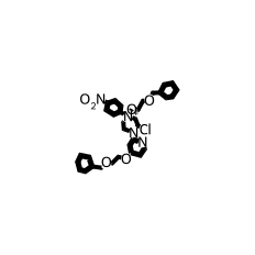 O=[N+]([O-])c1ccc([N+]2(OCCOCc3ccccc3)CCN(c3cc(OCCOCc4ccccc4)ccn3)C(Cl)C2)cc1